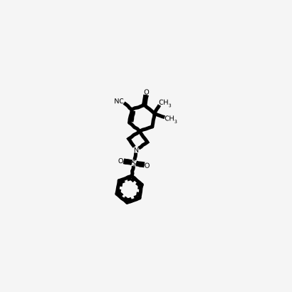 CC1(C)CC2(C=C(C#N)C1=O)CN(S(=O)(=O)c1ccccc1)C2